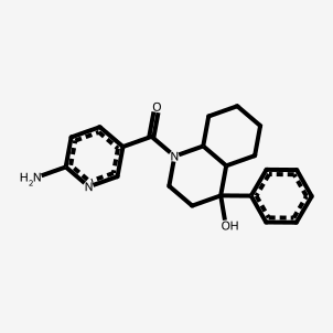 Nc1ccc(C(=O)N2CCC(O)(c3ccccc3)C3CCCCC32)cn1